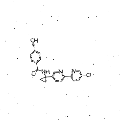 C#Cc1ccc(C(=O)NC2(c3ccc(-c4ccc(Cl)cn4)nc3)CC2)cc1